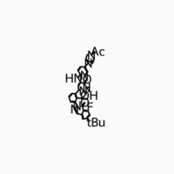 CC(=O)N1CC2CC1=CN2c1ccc(Nc2cc(-c3cccc(-n4ncc5cc(C(C)(C)C)cc(F)c5c4=O)c3CO)nn(C)c2=O)nc1